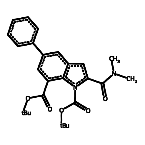 CN(C)C(=O)c1cc2cc(-c3ccccc3)cc(C(=O)OC(C)(C)C)c2n1C(=O)OC(C)(C)C